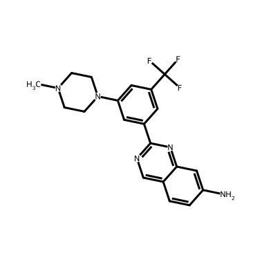 CN1CCN(c2cc(-c3ncc4ccc(N)cc4n3)cc(C(F)(F)F)c2)CC1